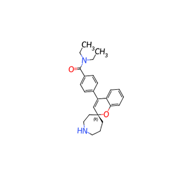 CCN(CC)C(=O)c1ccc(C2=C[C@]3(CCCNCC3)Oc3ccccc32)cc1